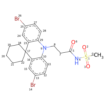 CS(=O)(=O)NC(=O)CCN1c2ccc(Br)cc2C2(CCCCC2)c2cc(Br)ccc21